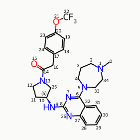 CN1CCCN(c2nc(N[C@H]3CCN(C(=O)Cc4ccc(OC(F)(F)F)cc4)C3)nc3ccccc23)CC1